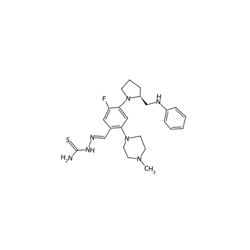 CN1CCN(c2cc(N3CCC[C@H]3CNc3ccccc3)c(F)cc2/C=N/NC(N)=S)CC1